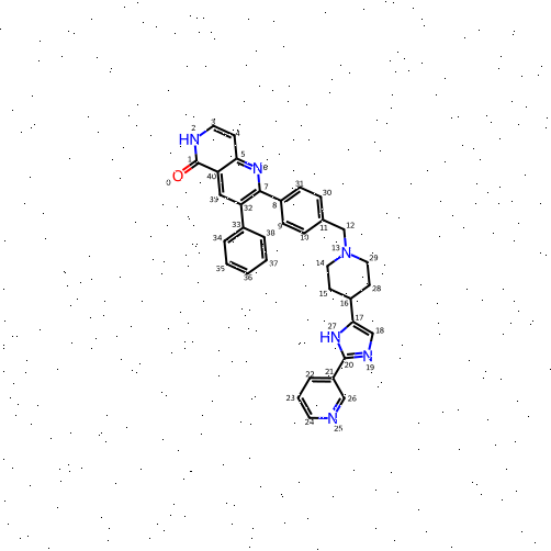 O=c1[nH]ccc2nc(-c3ccc(CN4CCC(c5cnc(-c6cccnc6)[nH]5)CC4)cc3)c(-c3ccccc3)cc12